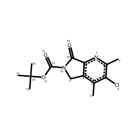 Cc1nc2c(c(C)c1Cl)CN(C(=O)OC(C)(C)C)C2=O